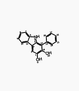 Oc1cc2c([nH]c3ccccc32)c(-c2ccccc2)c1O